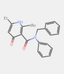 CCCCc1[nH]c(CC)cc(=O)c1C(=O)N(Cc1ccccc1)c1ccccc1